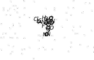 O=C(c1ccccc1Cl)n1nc(-c2ccn(Cc3cnccn3)c(=O)c2-c2ccncc2)c(F)c1NCc1ccc(Cl)s1